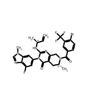 C=C[C@H](C)Nc1nc2c(c(=O)n1-c1cc(F)c3ncn(C)c3c1)C[C@@H](C)N(C(=O)c1ccc(Br)c(C(F)(F)F)c1)C2